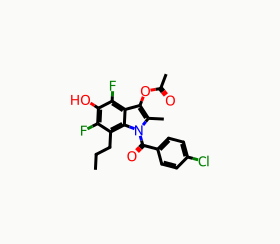 CCCc1c(F)c(O)c(F)c2c(OC(C)=O)c(C)n(C(=O)c3ccc(Cl)cc3)c12